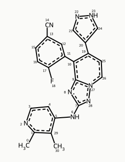 Cc1nccc(Nc2nc3c(-c4cc(C#N)ccc4F)c(-c4cn[nH]c4)ccn3n2)c1C